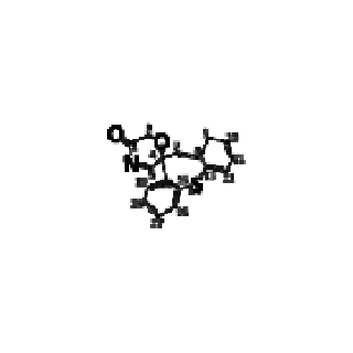 O=C1COC2(C=N1)C=C1CC=CC=C1Sc1ccccc12